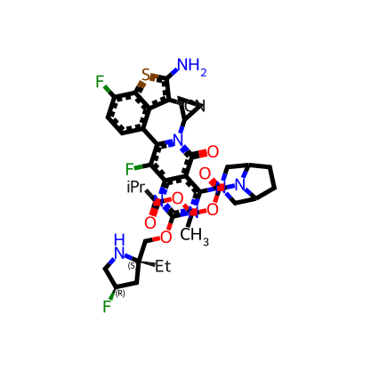 CC[C@@]1(COc2nc(N3CC4CCC(C3)N4C(=O)OC(C)OC(=O)C(C)C)c3c(=O)n(C4CC4)c(-c4ccc(F)c5sc(N)c(C#N)c45)c(F)c3n2)C[C@@H](F)CN1